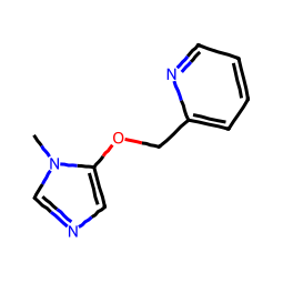 Cn1cncc1OCc1ccccn1